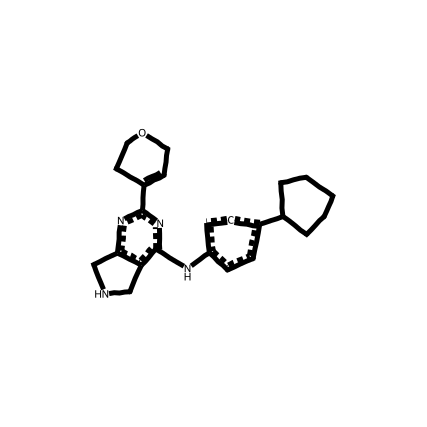 C1=C(c2nc3c(c(Nc4ccc(C5CCCCC5)cc4)n2)CNC3)CCOC1